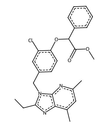 CCc1nc2c(C)cc(C)nc2n1Cc1ccc(OC(C(=O)OC)c2ccccc2)c(Cl)c1